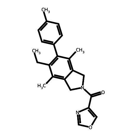 CCc1c(C)c2c(c(C)c1-c1ccc(C)cc1)CN(C(=O)c1cocn1)C2